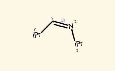 CC(C)/[C]=N\C(C)C